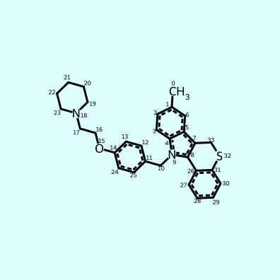 Cc1ccc2c(c1)c1c(n2Cc2ccc(OCCN3CCCCC3)cc2)-c2ccccc2SC1